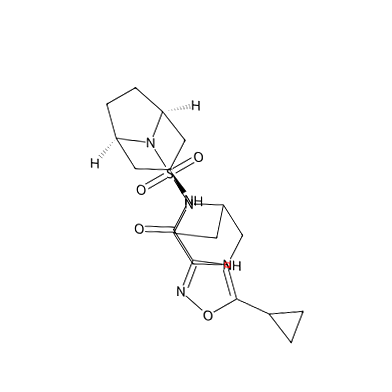 O=C(N[C@H]1C[C@H]2CC[C@@H](C1)N2S(=O)(=O)N1C2CNCC1C2)c1cc(C2CC2)on1